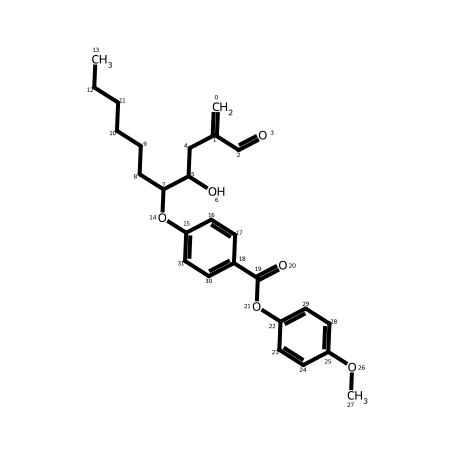 C=C(C=O)CC(O)C(CCCCCC)Oc1ccc(C(=O)Oc2ccc(OC)cc2)cc1